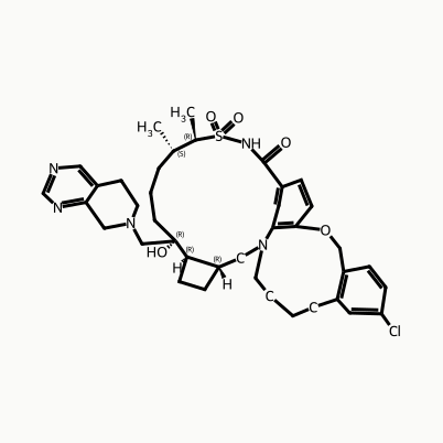 C[C@@H]1[C@@H](C)CCC[C@](O)(CN2CCc3cncnc3C2)[C@@H]2CC[C@H]2CN2CCCCc3cc(Cl)ccc3COc3ccc(cc32)C(=O)NS1(=O)=O